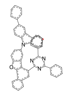 c1ccc(-c2ccc3c(c2)c2ccccc2n3-c2ccc3oc4c5ccccc5cc(-c5nc(-c6ccccc6)nc(-c6ccccc6)n5)c4c3c2)cc1